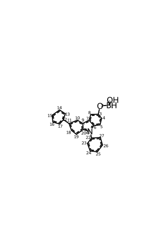 OBOc1ccc2c(c1)c1cc(-c3ccccc3)ccc1n2-c1ccccc1